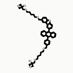 CCC1(COCCCCCOCc2ccc(-c3c4ccccc4c(-c4ccc5oc6ccc(COCCCCCOCC7(CC)COC7)cc6c5c4)c4ccccc34)cc2)COC1